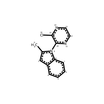 Cc1cc2ccccc2n1-c1nccnc1Cl